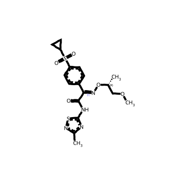 COC[C@@H](C)O/N=C(/C(=O)Nc1nc(C)ns1)c1ccc(S(=O)(=O)C2CC2)cc1